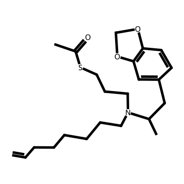 C=CCCCCCCN(CCCSC(C)=O)C(C)Cc1ccc2c(c1)OCO2